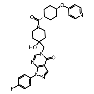 O=c1c2cnn(-c3ccc(F)cc3)c2ncn1CC1(O)CCN(C(=O)[C@H]2CC[C@H](Oc3ccncc3)CC2)CC1